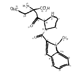 Cn1c(C(=O)[C@H]2CCN[C@@H]2C(=O)C(N)(CC=O)C(=O)O)cc2ccccc21